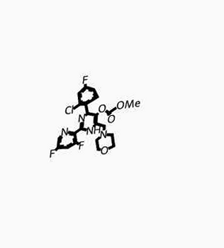 COC(=O)OC1=C(CN2CCOCC2)NC(c2ncc(F)cc2F)=NC1c1ccc(F)cc1Cl